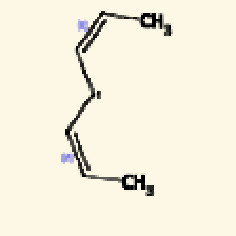 C/C=C\[C]/C=C\C